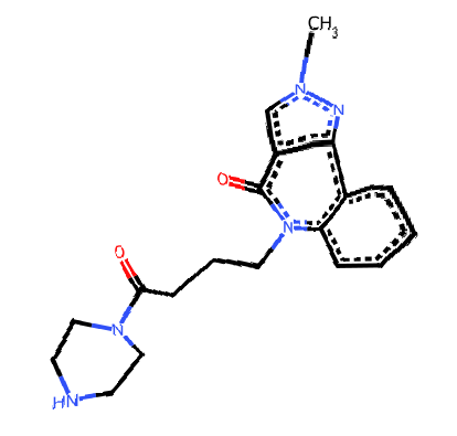 Cn1cc2c(=O)n(CCCC(=O)N3CCNCC3)c3ccccc3c2n1